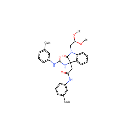 CCOC(CN1C(=O)C(CC(=O)Nc2cccc(OC)c2)(NC(=O)Nc2cccc(OC)c2)c2ccccc21)OCC